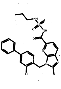 CCCNS(=O)(=O)NC(=O)c1ccc2nc(C)n(Cc3ccc(-c4ccccc4)cc3Cl)c2n1